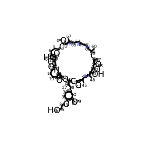 CO[C@H]1CC2CC[C@@H](C)[C@@](O)(O2)C(=O)C(=O)N2CCCC[C@H]2C(=O)O[C@H]([C@@H](C)C[C@@H]2CC[C@@H](OCCO)[C@H](OC)C2)CC(=O)[C@H](C)/C=C(\C)[C@@H](O)[C@@H](OC)C(=O)[C@H](C)CC(C)/C=C/C=C/C=C/1C